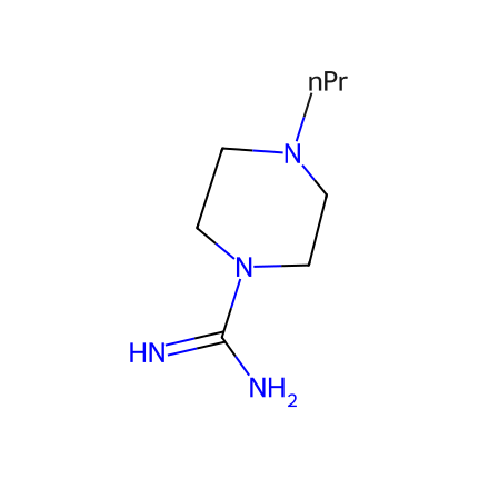 CCCN1CCN(C(=N)N)CC1